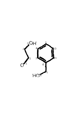 OCCCl.OCc1ccccc1